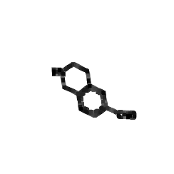 O=Cc1ccc2c(c1)CCNC2